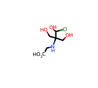 O=C(O)CNC(CO)(CO)C(O)Cl